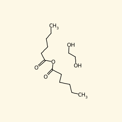 CCCCCC(=O)OC(=O)CCCCC.OCCO